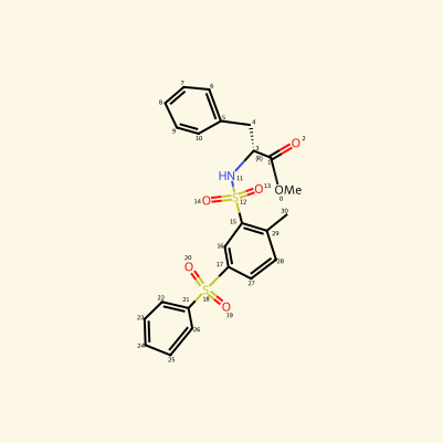 COC(=O)[C@@H](Cc1ccccc1)NS(=O)(=O)c1cc(S(=O)(=O)c2ccccc2)ccc1C